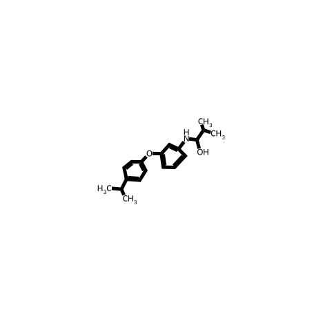 CC(C)c1ccc(Oc2cccc(NC(O)C(C)C)c2)cc1